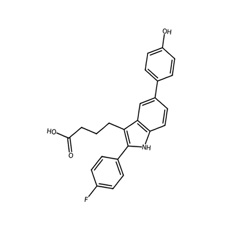 O=C(O)CCCc1c(-c2ccc(F)cc2)[nH]c2ccc(-c3ccc(O)cc3)cc12